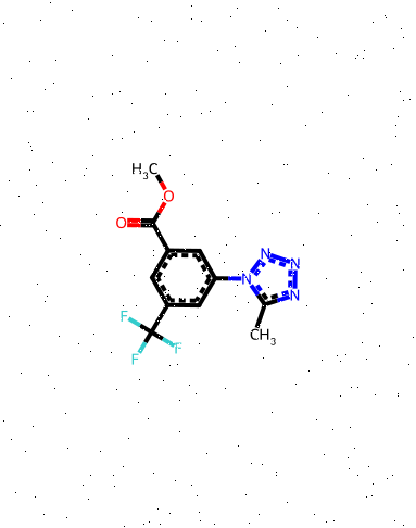 COC(=O)c1cc(-n2nnnc2C)cc(C(F)(F)F)c1